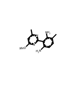 COc1cc(C)nc(-c2c(N)ccc(C)c2N)n1